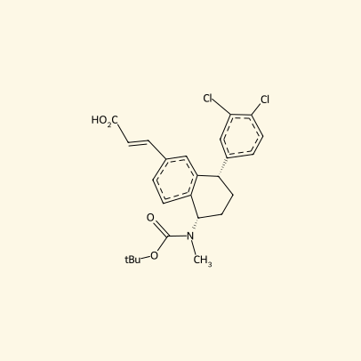 CN(C(=O)OC(C)(C)C)[C@H]1CC[C@@H](c2ccc(Cl)c(Cl)c2)c2cc(/C=C/C(=O)O)ccc21